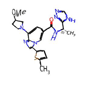 COC1CCN(c2cc(C(=O)N[C@@H](C)c3nnc[nH]3)cn3c(-c4ccc(C)s4)cnc23)C1